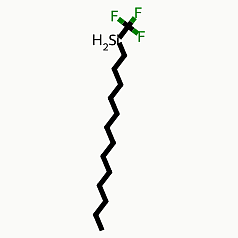 CCCCCCCCCCCCC[SiH2]C(F)(F)F